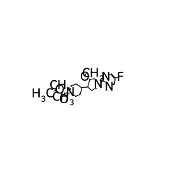 CO[C@@H]1CN(c2ncc(F)cn2)CCC1C1CCN(C(=O)OC(C)(C)C)CC1